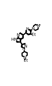 CCc1cc(-c2cnc3[nH]cc(-c4cnn(C5CCN(CC)CC5)c4)c3c2)cnc1N1CCN(C)CC1